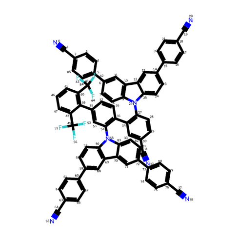 N#Cc1ccc(-c2ccc3c(c2)c2cc(-c4ccc(C#N)cc4)ccc2n3-c2ccc(C#N)cc2-c2ccc(-c3c(C(F)(F)F)cccc3C(F)(F)F)cc2-n2c3ccc(-c4ccc(C#N)cc4)cc3c3cc(-c4ccc(C#N)cc4)ccc32)cc1